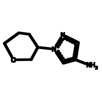 Nc1cnn(C2CCCOC2)c1